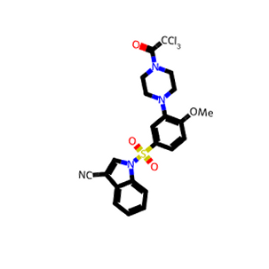 COc1ccc(S(=O)(=O)n2cc(C#N)c3ccccc32)cc1N1CCN(C(=O)C(Cl)(Cl)Cl)CC1